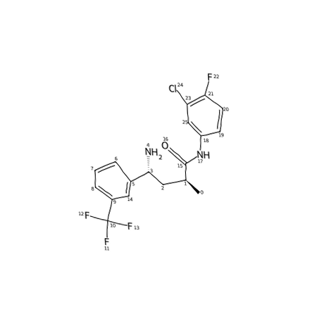 C[C@@H](C[C@@H](N)c1cccc(C(F)(F)F)c1)C(=O)Nc1ccc(F)c(Cl)c1